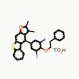 Cc1oc2cc3sc4ccccc4c3c(-c3cc(I)c(O[C@H](Cc4ccccc4)C(=O)O)c(I)c3)c2c1C